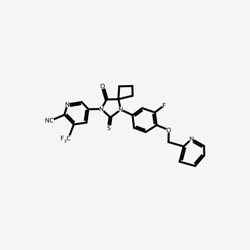 N#Cc1ncc(N2C(=O)C3(CCC3)N(c3ccc(OCc4ccccn4)c(F)c3)C2=S)cc1C(F)(F)F